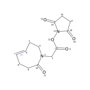 O=C(CN1CC/C=C/CCC1=O)ON1C(=O)CCC1=O